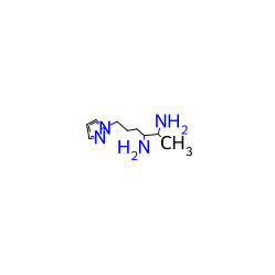 CC(N)C(N)CCCn1cccn1